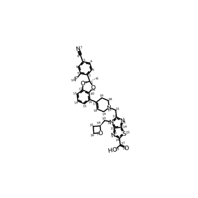 C[C@@]1(c2ccc(C#N)cc2F)Oc2cccc(C3=CCN(Cc4nc5sc(C(=O)O)nc5n4C[C@@H]4CCO4)CC3)c2O1